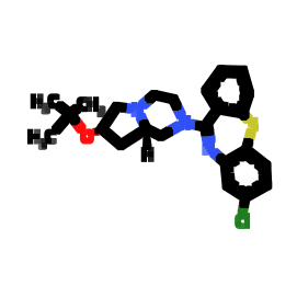 CC(C)(C)O[C@H]1C[C@H]2CN(C3=Nc4cc(Cl)ccc4Sc4ccccc43)CCN2C1